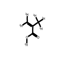 [2H]OC(=O)C(=C([2H])[2H])C([2H])([2H])[2H]